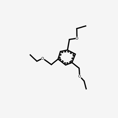 CCOCc1cc(COCC)cc(COCC)c1